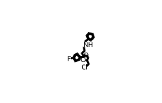 Fc1ccc(C2(CCCNCc3ccccc3)OCC(CCl)O2)cc1